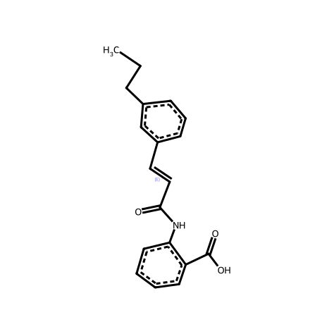 CCCc1cccc(/C=C/C(=O)Nc2ccccc2C(=O)O)c1